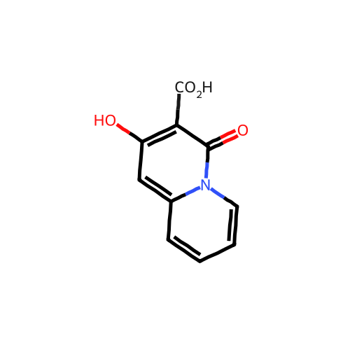 O=C(O)c1c(O)cc2ccccn2c1=O